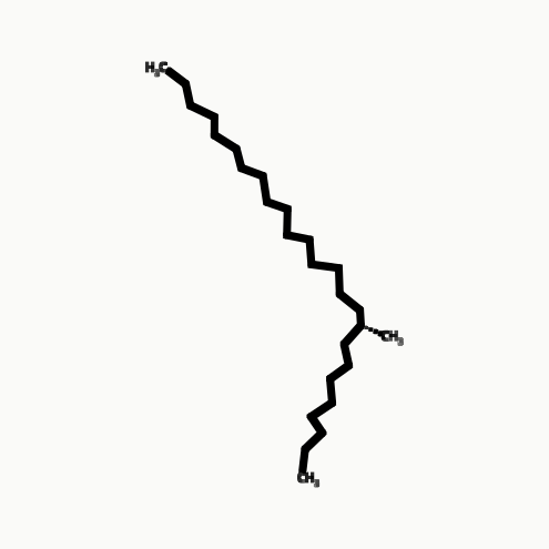 CCCCCCCCCCCCCCCC[C@H](C)CCCCCCCC